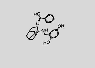 O=C(O)c1ccccc1.Oc1ccc(O)c(CNC2C3CC4CC(C3)CC2C4)c1